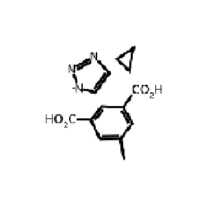 C1=CN=N[N]1.Cc1cc(C(=O)O)cc(C(=O)O)c1.[CH]1CC1